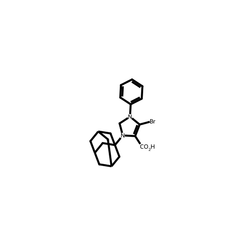 O=C(O)C1=C(Br)N(c2ccccc2)CN1C12CC3CC(CC(C3)C1)C2